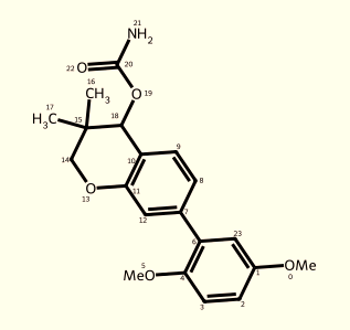 COc1ccc(OC)c(-c2ccc3c(c2)OCC(C)(C)C3OC(N)=O)c1